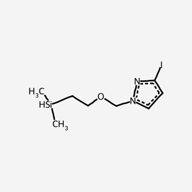 C[SiH](C)CCOCn1ccc(I)n1